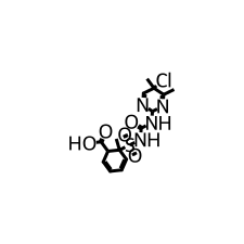 CC1=NC(NC(=O)NS(=O)(=O)C2(C)C=CC=CC2C(=O)O)N=CC1(C)Cl